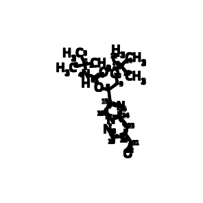 CC(C)(C)NC(=O)O[C@@H](COC(C)(C)C)c1cn2ncc(C=O)cc2n1